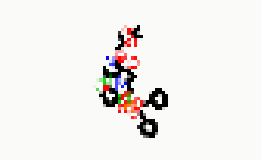 CC1(C)OCC(COc2ncc(Cl)c3c2c(=O)cc(COP(=O)(OCc2ccccc2)OCc2ccccc2)n3-c2c(Cl)cccc2Cl)O1